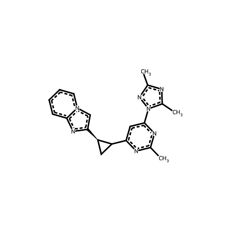 Cc1nc(C2C[C@H]2c2cn3ccccc3n2)cc(-n2nc(C)nc2C)n1